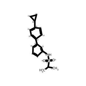 CC(C)S(=O)(=O)Nc1cccc(-c2ccc(C3CC3)cc2)c1